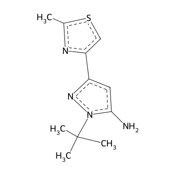 Cc1nc(-c2cc(N)n(C(C)(C)C)n2)cs1